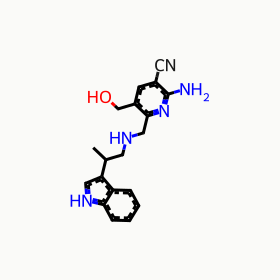 CC(CNCc1nc(N)c(C#N)cc1CO)c1c[nH]c2ccccc12